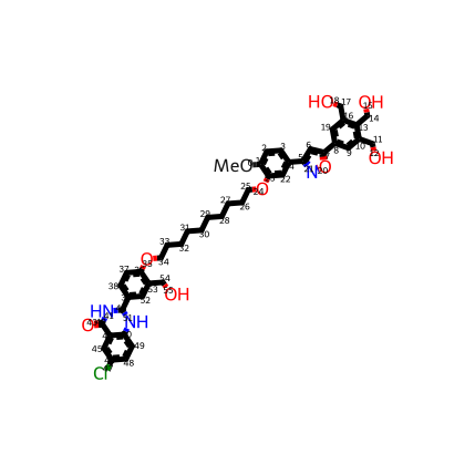 COc1ccc(-c2cc(-c3cc(CO)c(CO)c(CO)c3)on2)cc1OCCCCCCCCCCOc1ccc(C2NC(=O)c3cc(Cl)ccc3N2)cc1CO